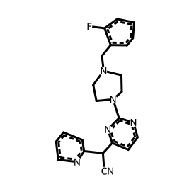 N#CC(c1ccccn1)c1ccnc(N2CCN(Cc3ccccc3F)CC2)n1